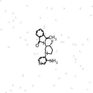 C=C1c2ccccc2C(=O)N1[C@@H]1CN(c2ccncc2N)CC[C@@H]1F